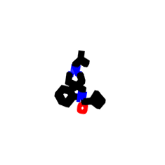 C=C(C)CN1CCC2(CC1)CN(C(=O)C1CCC1)c1ccccc12